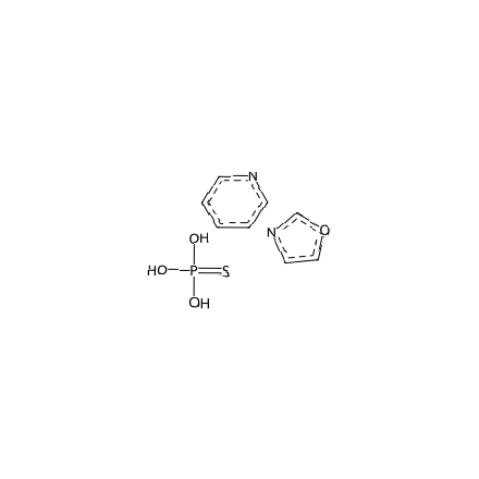 OP(O)(O)=S.c1ccncc1.c1cocn1